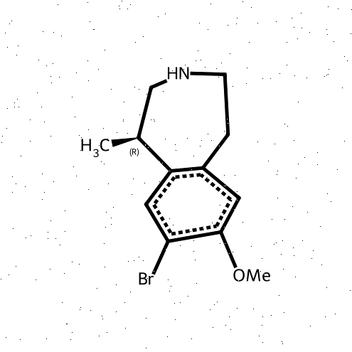 COc1cc2c(cc1Br)[C@@H](C)CNCC2